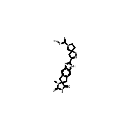 CN1C(=O)NC(=O)C12Cc1cc3nc(C4=NOC5(CCN(C(=O)OC(C)(C)C)C5)C4)[nH]c3cc1C2